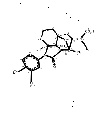 CCN(C(=O)O)[C@H]1C[C@@]23CCO[C@H]4[C@@H]2[C@H](C(=O)N4c2ccc(C#N)c(C(F)(F)F)c2)[C@]1(C)O3